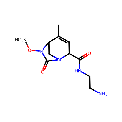 CC1=CC(C(=O)NCCN)N2CC1N(OS(=O)(=O)O)C2=O